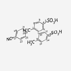 Cc1ccc(S(=O)(=O)O)cc1.Cc1ccc(S(=O)(=O)O)cc1.N#Cc1ccccc1